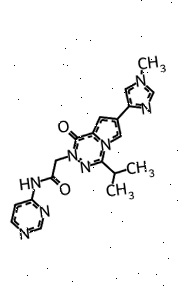 CC(C)c1nn(CC(=O)Nc2ccncn2)c(=O)c2cc(-c3cn(C)cn3)cn12